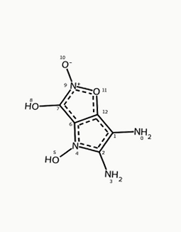 Nc1c(N)n(O)c2c(O)[n+]([O-])oc12